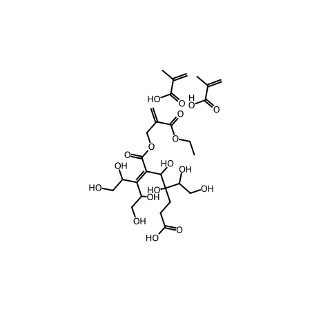 C=C(C)C(=O)O.C=C(C)C(=O)O.C=C(COC(=O)C(=C(C(O)CO)C(O)CO)C(O)C(O)(CCC(=O)O)C(O)CO)C(=O)OCC